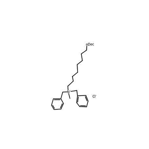 CCCCCCCCCCCCCCCCCC[N+](C)(Cc1ccccc1)Cc1ccccc1.[Cl-]